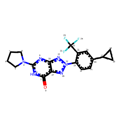 O=c1[nH]c(N2CCCC2)nc2nn(-c3ccc(C4CC4)cc3C(F)(F)F)nc12